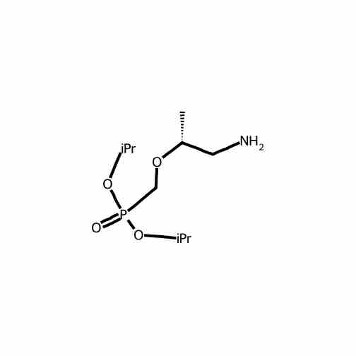 CC(C)OP(=O)(CO[C@H](C)CN)OC(C)C